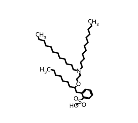 CCCCCCCCCCCCN(CCCCCCCCCCCC)CCOC(CCCCCCC)Cc1ccccc1S(=O)(=O)O